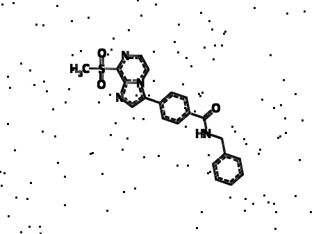 CS(=O)(=O)c1nccn2c(-c3ccc(C(=O)NCc4ccccc4)cc3)cnc12